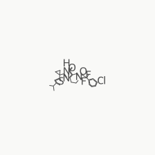 CC(C)c1csc(C2(c3nc4c(c(=O)[nH]3)CN(C(=O)C(F)(F)c3cccc(Cl)c3)CCC4)CC2)c1